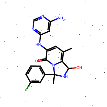 Cc1cc(Nc2cc(N)ncn2)c(=O)n2c1C(O)NC2(C)c1cccc(F)c1